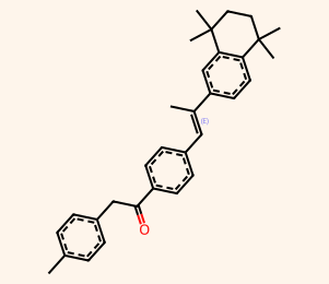 C/C(=C\c1ccc(C(=O)Cc2ccc(C)cc2)cc1)c1ccc2c(c1)C(C)(C)CCC2(C)C